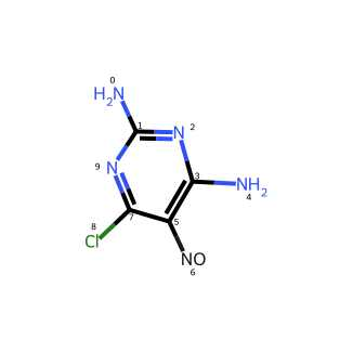 Nc1nc(N)c(N=O)c(Cl)n1